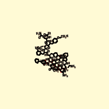 CCC(=O)NC(CNC(N)=O)C(=O)NC(Cc1ccc(OCC(=O)O)cc1)C(=O)N[C@@H](CC(=O)O)C(=O)NC(Cc1cccc(C)c1)C(=O)N[C@@H](Cc1ccc(C(=O)O)cc1)C(=O)N[C@@H](Cc1ccc(-c2ccccc2)cc1)C(=O)N[C@@H](CCC(N)=O)C(=O)N(C)[C@@H](C)C(=O)N[C@H](CC(C)C)C(=O)N[C@@H](CCN)C(=O)NC(CC1CCCCC1)C(=O)NC(C(=O)NC(CCCN)C(=O)N[C@@H](CC)C(=O)NC(CCN)C(N)=O)C(C)C